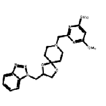 COc1cc(OC)nc(CN2CCC3(CC2)OCC(Cn2nnc4ccccc42)O3)n1